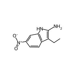 CCc1c(N)[nH]c2cc([N+](=O)[O-])ccc12